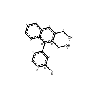 OCc1cc2ccccc2c(-c2ccnc(Br)c2)c1CO